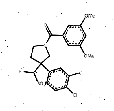 CCC(C1(c2ccc(Cl)c(Cl)c2)CCN(C(=O)c2cc(OC)cc(OC)c2)C1)S(=O)(=O)O